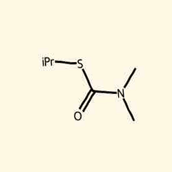 CC(C)SC(=O)N(C)C